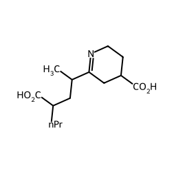 CCCC(CC(C)C1=NCCC(C(=O)O)C1)C(=O)O